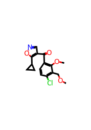 COCc1c(Cl)ccc(C(=O)c2cnoc2C2CC2)c1OC